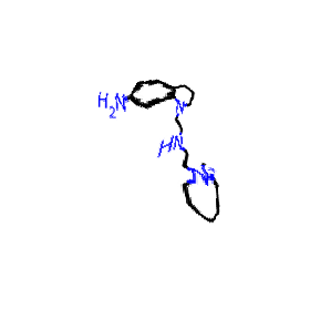 C[N+]1(CCNCCN2CCCc3ccc(N)cc32)CCCCC1